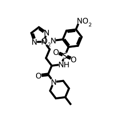 CC1CCN(C(=O)C(CCn2nccn2)NS(=O)(=O)c2ccc([N+](=O)[O-])cc2[N+](=O)[O-])CC1